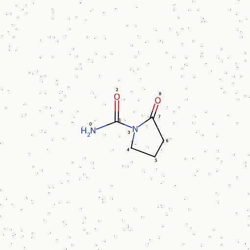 NC(=O)N1CC[CH]C1=O